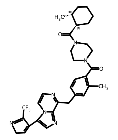 Cc1cc(Cc2nccn3c(C4=CCN=C4C(F)(F)F)cnc23)ccc1C(=O)N1CCN(C(=O)[C@@H]2CCCC[C@H]2C)CC1